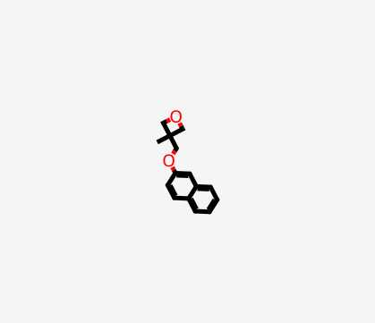 CC1(COc2ccc3ccccc3c2)COC1